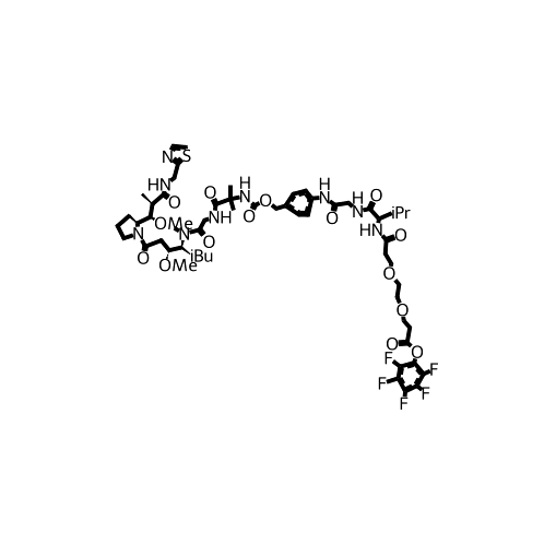 CC[C@H](C)[C@@H]([C@@H](CC(=O)N1CCC[C@H]1[C@H](OC)[C@@H](C)C(=O)NCc1nccs1)OC)N(C)C(=O)CNC(=O)C(C)(C)NC(=O)OCc1ccc(NC(=O)CNC(=O)C(NC(=O)CCOCCOCCC(=O)Oc2c(F)c(F)c(F)c(F)c2F)C(C)C)cc1